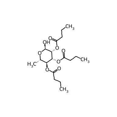 CCCC(=O)O[C@@H]1[C@@H](OC(=O)CCC)[C@H](C)O[C@@H](O)[C@@H]1OC(=O)CCC